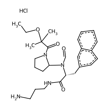 CCOC(C)(C)C(=O)N1CCCC1N(C=O)[C@H](Cc1ccc2ccccc2c1)C(=O)NCCCN.Cl